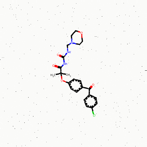 CC(C)(Oc1ccc(C(=O)c2ccc(Cl)cc2)cc1)C(=O)NC(=O)NCN1CCOCC1